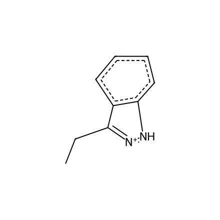 CCC1=[N+]Nc2ccccc21